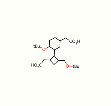 CC(C)(C)OCC1CC(CC(=O)O)C1C1CC(CC(=O)O)CCC1OC(C)(C)C